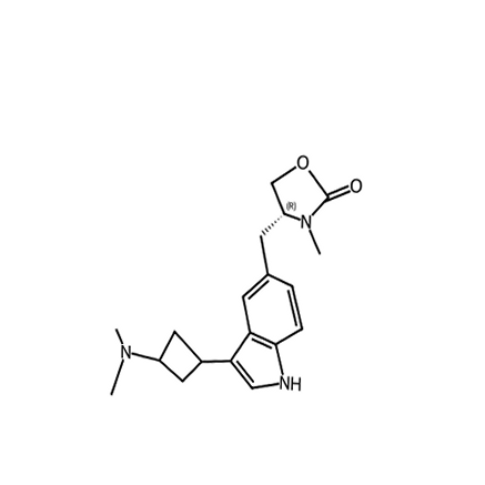 CN(C)C1CC(c2c[nH]c3ccc(C[C@@H]4COC(=O)N4C)cc23)C1